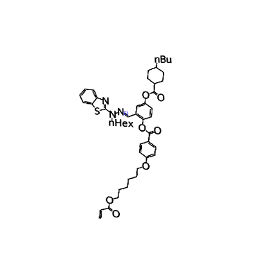 C=CC(=O)OCCCCCCOc1ccc(C(=O)Oc2ccc(OC(=O)C3CCC(CCCC)CC3)cc2/C=N/N(CCCCCC)c2nc3ccccc3s2)cc1